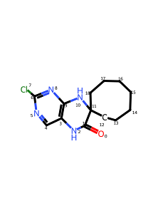 O=C1Nc2cnc(Cl)nc2NC12CCCCCCC2